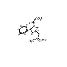 CO[C@@H](C)CN1C[C@@H](NC(=O)O)[C@H](c2ccccc2)C1